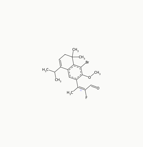 COc1c(/C(C)=C(/F)C=O)cc2c(c1Br)C(C)(C)CC=C2C(C)C